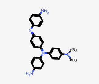 CCCCN(CCCC)c1ccc([N+](=C2C=CC(=Nc3ccc(N)cc3)C=C2)c2ccc(N)cc2)cc1